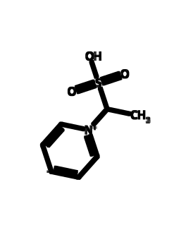 CC([n+]1cc[c]cc1)S(=O)(=O)O